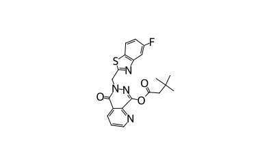 CC(C)(C)CC(=O)Oc1nn(Cc2nc3cc(F)ccc3s2)c(=O)c2cccnc12